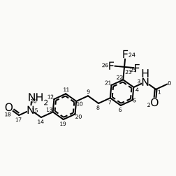 CC(=O)Nc1ccc(CCc2ccc(CN(N)C=O)cc2)cc1C(F)(F)F